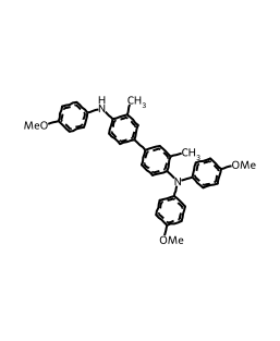 COc1ccc(Nc2ccc(-c3ccc(N(c4ccc(OC)cc4)c4ccc(OC)cc4)c(C)c3)cc2C)cc1